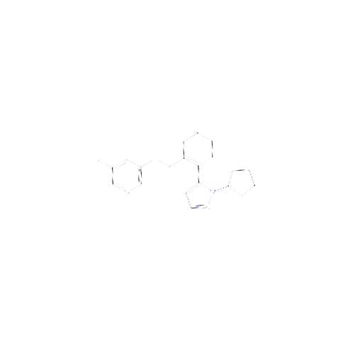 Clc1cncc(OCC2=C(c3ccnn3C3CCCC3)CCCC2)c1